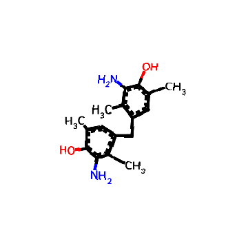 Cc1cc(Cc2cc(C)c(O)c(N)c2C)c(C)c(N)c1O